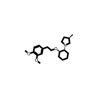 COc1ccc(CCO[C@@H]2CCCC[C@H]2N2CC[C@@H](C)C2)cc1OC